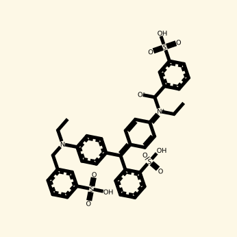 CCN(Cc1cccc(S(=O)(=O)O)c1)c1ccc(C(=C2C=CC(=[N+](CC)C([O-])c3cccc(S(=O)(=O)O)c3)C=C2)c2ccccc2S(=O)(=O)O)cc1